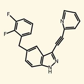 Fc1cccc(Cc2ccc3[nH]nc(C#Cc4ccccn4)c3c2)c1F